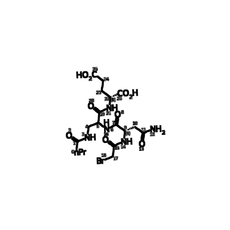 CCCC(=O)NCC(NC(=O)[C@H](CC(N)=O)NC(=O)CBr)C(=O)N[C@H](CCC(=O)O)C(=O)O